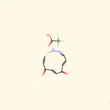 O=C(O)C(F)(F)F.O=C1/C=C\SN/N=C\C=C\C(=O)/C=C/1